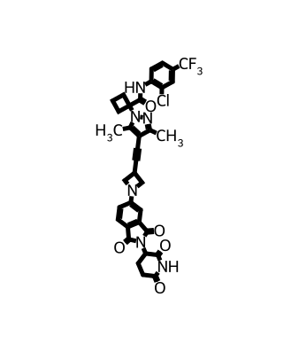 Cc1nn(C2(C(=O)Nc3ccc(C(F)(F)F)cc3Cl)CCC2)c(C)c1C#CC1CN(c2ccc3c(c2)C(=O)N(C2CCC(=O)NC2=O)C3=O)C1